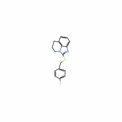 Fc1ccc(CSc2nc3cccc4c3n2CCC4)cc1